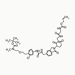 C=CCOC(=O)NCC(=O)NCN1C(=O)CCC(N2Cc3cc(CNC(=O)Nc4ccc(CCOCCN(C)C(=O)OC(C)(C)C)c(Cl)c4)ccc3C2=O)C1=O